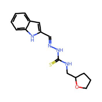 S=C(NCC1CCCO1)NN=Cc1cc2ccccc2[nH]1